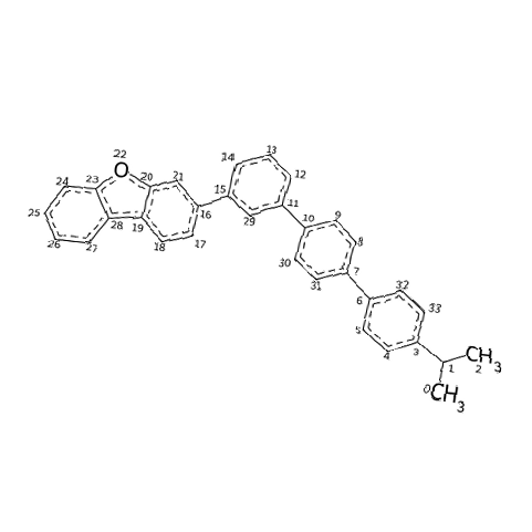 CC(C)c1ccc(-c2ccc(-c3cccc(-c4ccc5c(c4)oc4ccccc45)c3)cc2)cc1